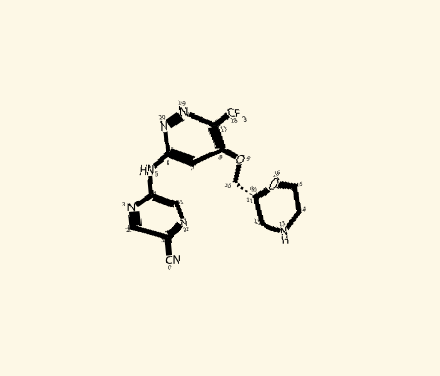 N#Cc1cnc(Nc2cc(OC[C@H]3CNCCO3)c(C(F)(F)F)nn2)cn1